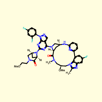 COCCN1C[C@@H]2C[C@H](C1=O)N2c1nc(N2C[C@@H]3C[C@H]2C(=O)N(C)C[C@H](OC)Cn2c(C)nc4cc(F)cc(c42)-c2cccc(n2)N3)c2cnn(-c3ccc(F)cc3F)c2n1